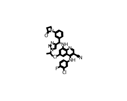 CC(C)n1cc([C@@H](Nc2cc(Cl)cc3c(Nc4ccc(F)c(Cl)c4)c(C#N)cnc23)c2cccc(N3CCC3=O)c2)nn1